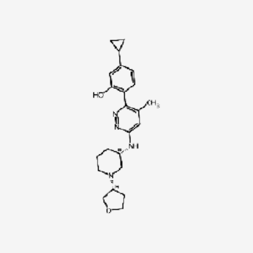 Cc1cc(N[C@H]2CCCN([C@@H]3CCOC3)C2)nnc1-c1ccc(C2CC2)cc1O